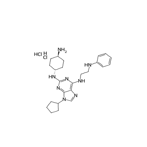 Cl.Cl.N[C@H]1CC[C@H](Nc2nc(NCCNc3ccccc3)c3ncn(C4CCCC4)c3n2)CC1